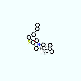 CC1(C)c2ccccc2-c2cccc(-c3ccc(N(c4ccc(-c5cccc(-c6ccc7ccccc7c6)c5)cc4)c4ccccc4-c4ccc5c(c4)sc4ccccc45)cc3)c21